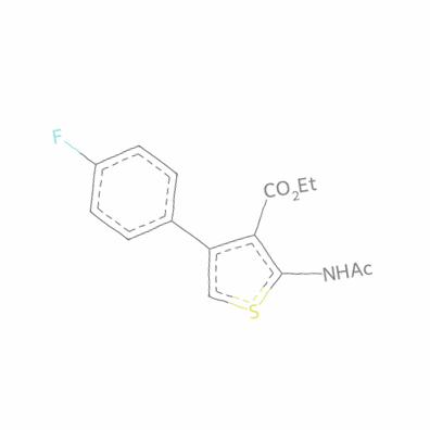 CCOC(=O)c1c(-c2ccc(F)cc2)csc1NC(C)=O